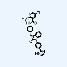 Cc1ncc(Cl)cc1C(=O)N[C@H]1CC[C@H](Cn2c(=O)n(-c3ccc(-c4ncc[nH]4)cc3)c3ccccc32)CC1